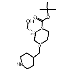 CC(C)(C)OC(=O)N1CCN(CC2CCNCC2)C[C@@H]1CO